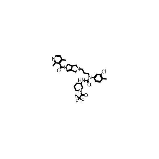 Cc1ccc(N(CCCN2CC3=CN(C(=O)c4c(C)ccnc4C)CC3C2)C(=O)NC2CCCN(C(=O)C(F)(F)F)C2)cc1Cl